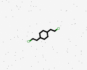 ClCCC1[CH]CC(CCCl)[CH]C1